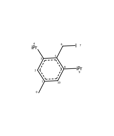 Cc1cc(C(C)C)c(CI)c(C(C)C)c1